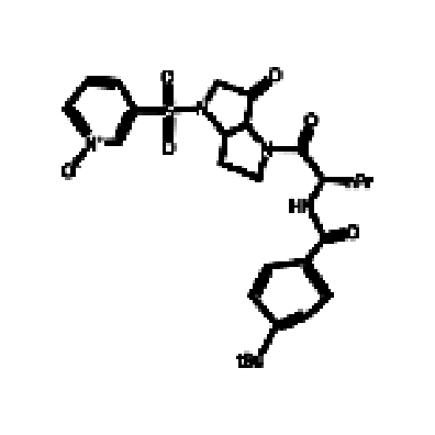 CCCC(NC(=O)c1ccc(C(C)(C)C)cc1)C(=O)N1CCC2C1C(=O)CN2S(=O)(=O)c1ccc[n+]([O-])c1